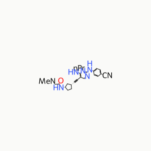 CCCNc1nc(Nc2ccc(C#N)cc2)ncc1C#C[C@@H]1CC[C@H](NC(=O)CNC)C1